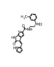 CCN(CCNC(=O)c1cc2c(s1)NC(=O)/C2=C\c1ccc[nH]1)c1cccc(C)c1